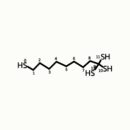 SCCCCCCCCC(S)(S)S